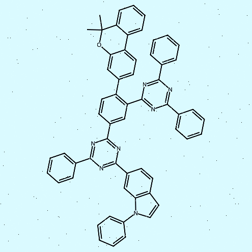 CC1(C)Oc2cc(-c3ccc(-c4nc(-c5ccccc5)nc(-c5ccc6ccn(-c7ccccc7)c6c5)n4)cc3-c3nc(-c4ccccc4)nc(-c4ccccc4)n3)ccc2-c2ccccc21